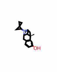 C[C@H]1C2Cc3ccc(O)cc3[C@@]1(C)CCN2C1CC12CC2